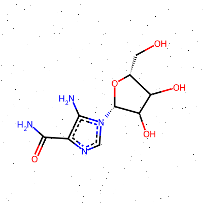 NC(=O)c1ncn([C@@H]2O[C@H](CO)C(O)C2O)c1N